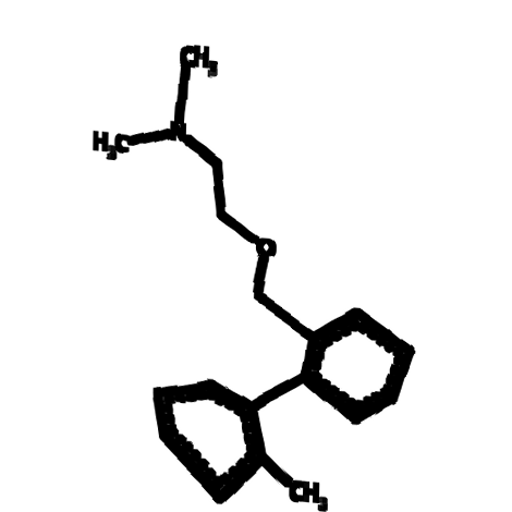 Cc1ccccc1-c1ccccc1COCCN(C)C